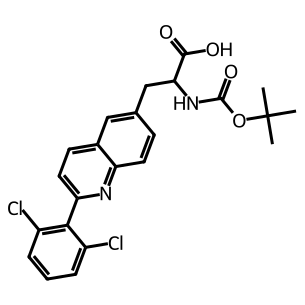 CC(C)(C)OC(=O)NC(Cc1ccc2nc(-c3c(Cl)cccc3Cl)ccc2c1)C(=O)O